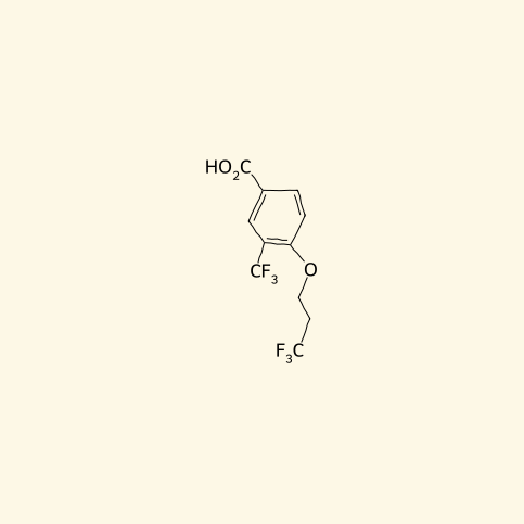 O=C(O)c1ccc(OCCC(F)(F)F)c(C(F)(F)F)c1